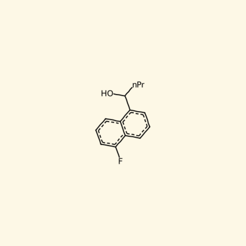 CCCC(O)c1cccc2c(F)cccc12